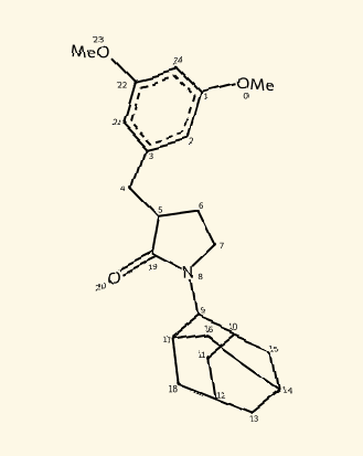 COc1cc(CC2CCN(C3C4CC5CC(C4)CC3C5)C2=O)cc(OC)c1